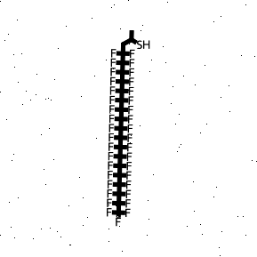 CC(S)CC(F)(F)C(F)(F)C(F)(F)C(F)(F)C(F)(F)C(F)(F)C(F)(F)C(F)(F)C(F)(F)C(F)(F)C(F)(F)C(F)(F)C(F)(F)C(F)(F)C(F)(F)C(F)(F)C(F)(F)C(F)(F)F